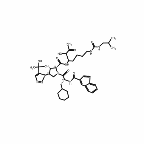 CC(C)CNC(=O)NCCCCC(NC(=O)[C@@H]1C[C@H](n2nncc2C(C)(C)O)CN1C(=O)[C@@H](CC1CCCCC1)NC(=O)c1ccc2ccccc2c1)C(O)C(N)=O